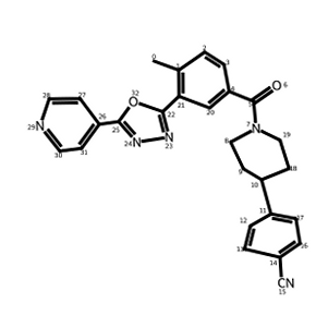 Cc1ccc(C(=O)N2CCC(c3ccc(C#N)cc3)CC2)cc1-c1nnc(-c2ccncc2)o1